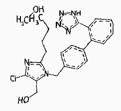 CCCCc1nc(Cl)c(CO)n1Cc1ccc(-c2ccccc2-c2nnn[nH]2)cc1.CO